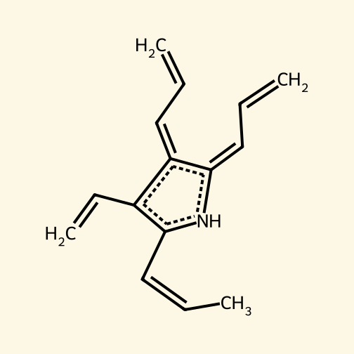 C=C/C=c1/c(C=C)c(/C=C\C)[nH]/c1=C/C=C